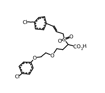 O=C(O)C(CCOCCOc1ccc(Cl)cc1)S(=O)(=O)C/C=C/c1ccc(Cl)cc1